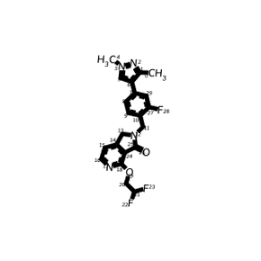 Cc1nn(C)cc1-c1ccc(CN2Cc3ccnc(OCC(F)F)c3C2=O)c(F)c1